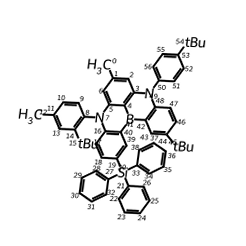 Cc1cc2c3c(c1)N(c1ccc(C)cc1C(C)(C)C)c1ccc([Si](c4ccccc4)(c4ccccc4)c4ccccc4)cc1B3c1cc(C(C)(C)C)ccc1N2c1ccc(C(C)(C)C)cc1